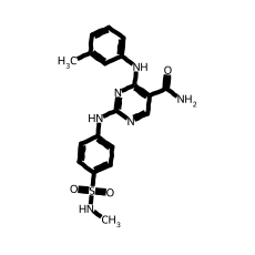 CNS(=O)(=O)c1ccc(Nc2ncc(C(N)=O)c(Nc3cccc(C)c3)n2)cc1